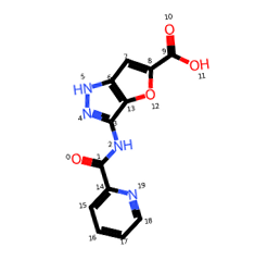 O=C(Nc1n[nH]c2cc(C(=O)O)oc12)c1ccccn1